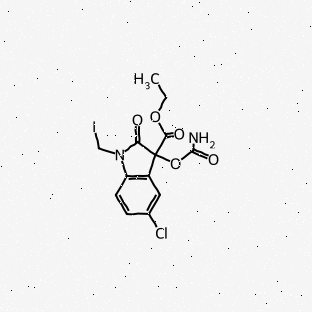 CCOC(=O)C1(OC(N)=O)C(=O)N(CI)c2ccc(Cl)cc21